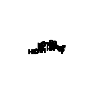 O=C(NCc1ccc2ncc(NC3CCNCC3)nc2c1)c1cncn(Cc2ccc(F)c(F)c2)c1=O